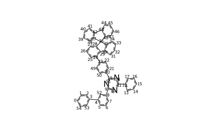 c1ccc(-c2cccc(-c3nc(-c4ccccc4)nc(-c4ccc(-c5cccc6c5-c5ccccc5C65c6ccccc6-c6ccccc65)cc4)n3)c2)cc1